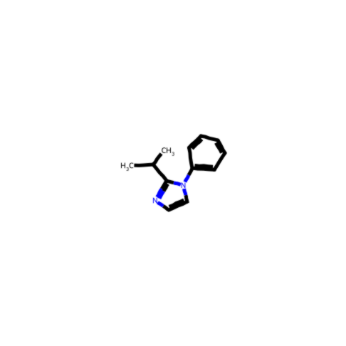 CC(C)c1nccn1-c1ccccc1